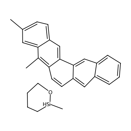 C[SiH]1CCCCO1.Cc1ccc2cc3c(ccc4cc5ccccc5cc43)c(C)c2c1